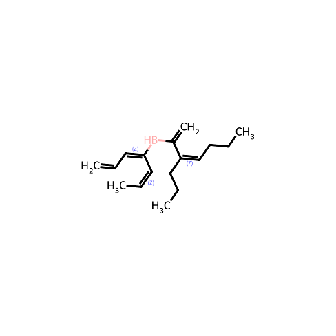 C=C/C=C(BC(=C)/C(=C\CCC)CCC)\C=C/C